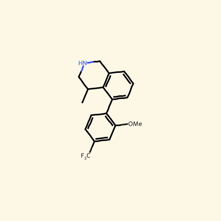 COc1cc(C(F)(F)F)ccc1-c1cccc2c1C(C)CNC2